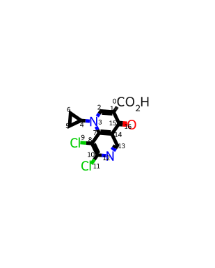 O=C(O)c1cn(C2CC2)c2c(Cl)c(Cl)ncc2c1=O